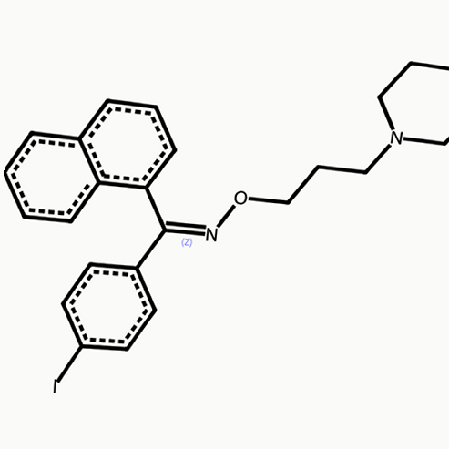 Ic1ccc(/C(=N/OCCCN2CCOCC2)c2cccc3ccccc23)cc1